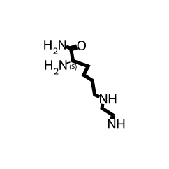 N=CCNCCCC[C@H](N)C(N)=O